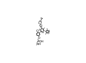 CNC[C@@H](O)COc1ccc(Cl)c(-c2nc(-c3c(C)noc3C)c(C)c(N3CC4(CCN(C5CC5)C4)C3)n2)c1